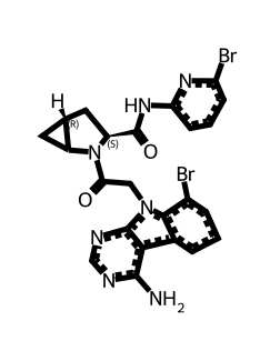 Nc1ncnc2c1c1cccc(Br)c1n2CC(=O)N1C2C[C@@H]2C[C@H]1C(=O)Nc1cccc(Br)n1